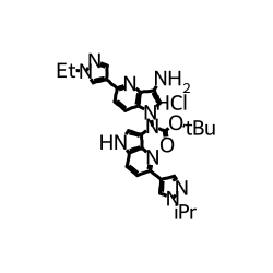 CCn1cc(-c2ccc3c(n2)c(N)cn3N(C(=O)OC(C)(C)C)c2c[nH]c3ccc(-c4cnn(C(C)C)c4)nc23)cn1.Cl